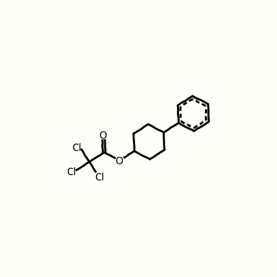 O=C(OC1CCC(c2ccccc2)CC1)C(Cl)(Cl)Cl